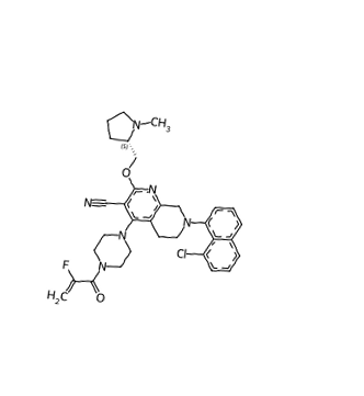 C=C(F)C(=O)N1CCN(c2c(C#N)c(OC[C@@H]3CCCN3C)nc3c2CCN(c2cccc4cccc(Cl)c24)C3)CC1